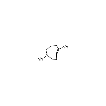 CCC/C1=C\CCN(CCC)CCC1